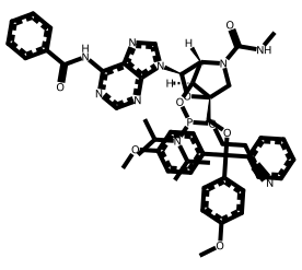 CNC(=O)N1C[C@]2(COC(c3ccccc3)(c3ccc(OC)cc3)c3ccc(OC)cc3)O[C@@H](n3cnc4c(NC(=O)c5ccccc5)ncnc43)[C@H]1[C@@H]2OP(OCCC#N)N(C(C)C)C(C)C